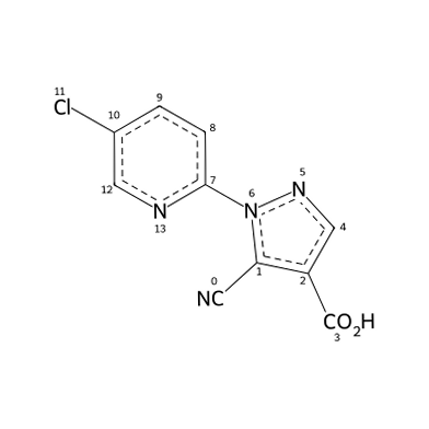 N#Cc1c(C(=O)O)cnn1-c1ccc(Cl)cn1